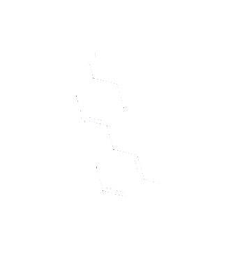 CC1CCC(c2cc(F)cc(Cl)c2)=NC1